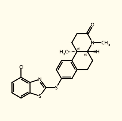 CN1C(=O)CC[C@]2(C)c3ccc(Sc4nc5c(Cl)cccc5s4)cc3CC[C@@H]12